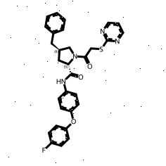 O=C(Nc1ccc(Oc2ccc(F)cc2)cc1)[C@@H]1C[C@@H](Cc2ccccc2)CN1C(=O)CSc1ncccn1